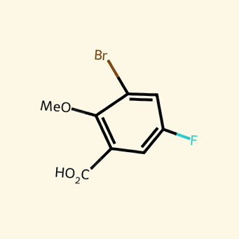 COc1c(Br)cc(F)cc1C(=O)O